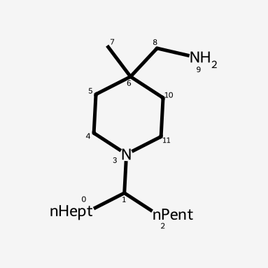 CCCCCCCC(CCCCC)N1CCC(C)(CN)CC1